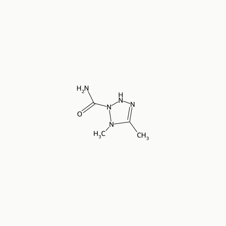 CC1=NNN(C(N)=O)N1C